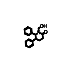 O=C1CCC(c2ccccc2)C(c2ccccc2)N1CO